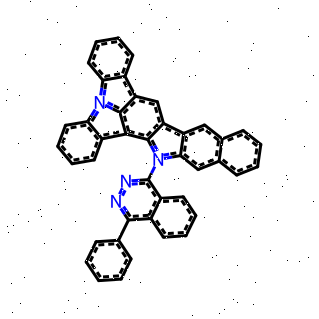 c1ccc(-c2nnc(-n3c4cc5ccccc5cc4c4cc5c6ccccc6n6c7ccccc7c(c43)c56)c3ccccc23)cc1